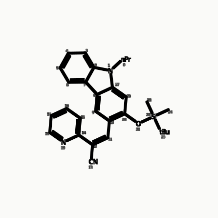 CCCn1c2ccccc2c2cc(C=C(C#N)c3ccccn3)c(O[Si](C)(C)C(C)(C)C)cc21